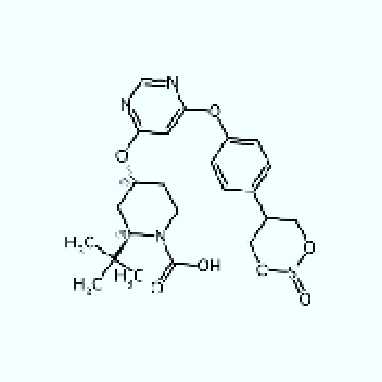 CC(C)(C)[C@H]1C[C@H](Oc2cc(Oc3ccc(C4COS(=O)OC4)cc3)ncn2)CCN1C(=O)O